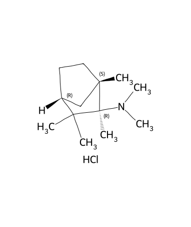 CN(C)[C@@]1(C)C(C)(C)[C@@H]2CC[C@@]1(C)C2.Cl